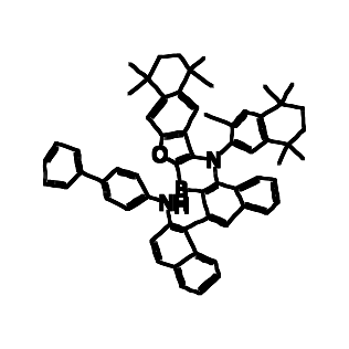 Cc1cc2c(cc1N1c3c(c(-c4c(Nc5ccc(-c6ccccc6)cc5)ccc5ccccc45)cc4ccccc34)Bc3oc4cc5c(cc4c31)C(C)(C)CCC5(C)C)C(C)(C)CCC2(C)C